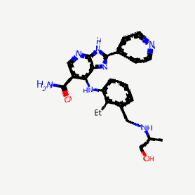 CCc1c(CNC(C)CO)cccc1Nc1c(C(N)=O)cnc2[nH]c(-c3ccncc3)nc12